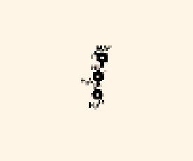 COc1ccc2nc(-c3ccc(NC(=O)c4ccc([N+](=O)[O-])c(C(F)(F)F)c4)cc3C)sc2c1